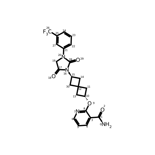 NC(=O)c1cccnc1O[C@H]1CC2(C1)C[C@H](N1C(=O)CN(c3cccc(C(F)(F)F)c3)C1=O)C2